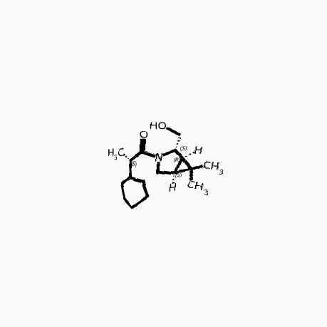 C[C@H](C(=O)N1C[C@H]2[C@@H]([C@H]1CO)C2(C)C)C1CCCCC1